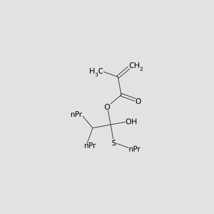 C=C(C)C(=O)OC(O)(SCCC)C(CCC)CCC